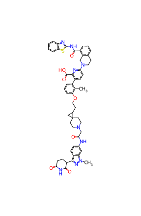 Cc1c(OCCC2CC23CCN(CC(=O)Nc2ccc4c(C5CCC(=O)NC5=O)nn(C)c4c2)CC3)cccc1-c1ccc(N2CCc3cccc(C(=O)Nc4nc5ccccc5s4)c3C2)nc1C(=O)O